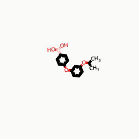 CC(C)Oc1cccc(Oc2ccc(B(O)O)cc2)c1